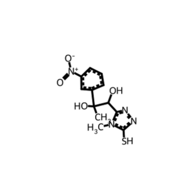 Cn1c(S)nnc1C(O)C(C)(O)c1cccc([N+](=O)[O-])c1